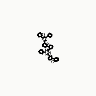 c1ccc(-c2nc(-c3ccc4oc5ccccc5c4c3)nc(-c3cccc4sc5c(-c6nc(-c7ccccc7)c7oc8ccccc8c7n6)cccc5c34)n2)cc1